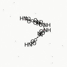 CC1(C)CC(OC(=O)c2ccc(C#Cc3cnc(C(=O)OC4CC(C)(C)NC(C)(CCC5(C)CC(OC(=O)c6ncc(OC(=O)c7ccc(C(=O)OC8CC(C)(C)NC(C)(C)C8)cc7)cn6)CC(C)(C)N5)C4)nc3)cc2)CC(C)(C)N1